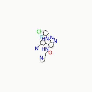 CN1CCCC1C=CC(=O)Nc1ccc2ncnc(Nc3cccc(Cl)c3F)c2c1-c1cccc(C#N)c1